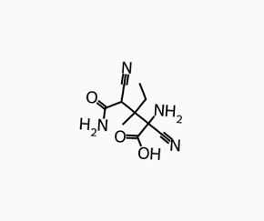 CCC(C)(C(C#N)C(N)=O)C(N)(C#N)C(=O)O